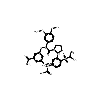 COc1cc(N[C@H](C(=O)N2CCC[C@@H]2c2cc(N(C)C(=O)O)ccc2S(=O)(=O)C(C)C)c2ccc(OC)c(OC)c2)cc(C(N)=O)c1